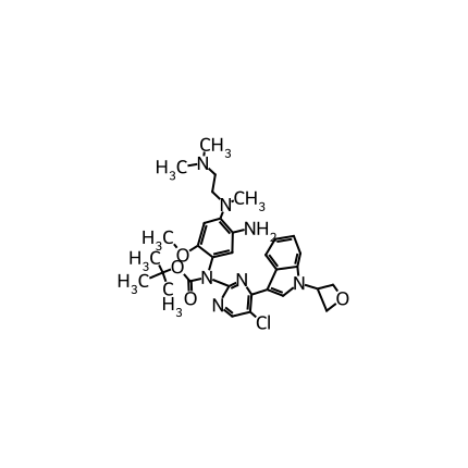 COc1cc(N(C)CCN(C)C)c(N)cc1N(C(=O)OC(C)(C)C)c1ncc(Cl)c(-c2cn(C3COC3)c3ccccc23)n1